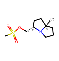 CC[C@@]12CCCN1[C@H](COS(C)(=O)=O)CC2